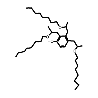 CCCCCCCCOC(C)Cc1ccc(O)c(CC(C)OCCCCCCCC)c1CC(C)OCCCCCCCC